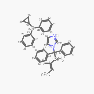 CCCC=C(C)[SiH2]C(c1ccccc1)(c1ccccc1)n1ccnc1.c1ccc(B(c2ccccc2)C2CC2)cc1